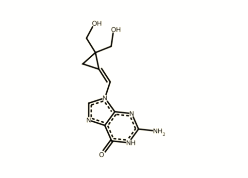 Nc1nc2c(ncn2C=C2CC2(CO)CO)c(=O)[nH]1